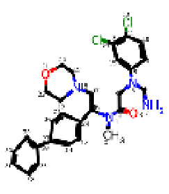 CN(C(=O)CN(CN)c1ccc(Cl)c(Cl)c1)C(CN1CCOCC1)c1ccc(-c2ccccc2)cc1